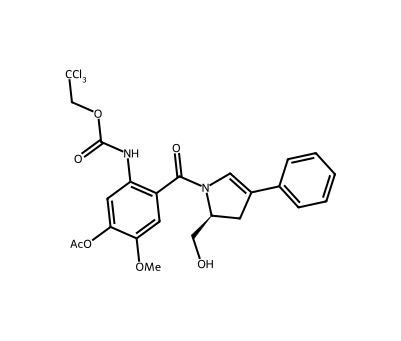 COc1cc(C(=O)N2C=C(c3ccccc3)C[C@H]2CO)c(NC(=O)OCC(Cl)(Cl)Cl)cc1OC(C)=O